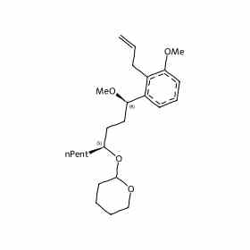 C=CCc1c(OC)cccc1[C@@H](CC[C@H](CCCCC)OC1CCCCO1)OC